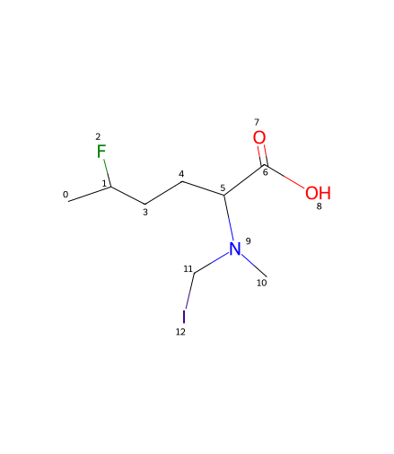 CC(F)CCC(C(=O)O)N(C)CI